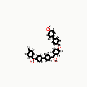 COc1ccc(-c2ccc(Oc3ccc(C(=O)c4ccc(-c5ccc(C(=O)c6ccc(C)cc6)cc5)cc4)cc3)cc2)cc1